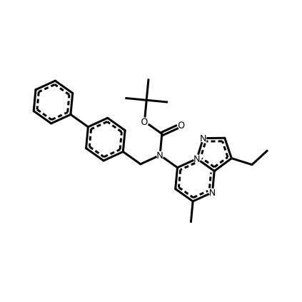 CCc1cnn2c(N(Cc3ccc(-c4ccccc4)cc3)C(=O)OC(C)(C)C)cc(C)nc12